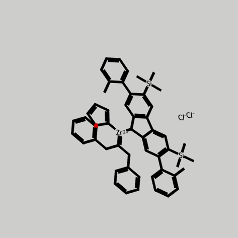 Cc1ccccc1-c1cc2c(cc1[Si](C)(C)C)-c1cc([Si](C)(C)C)c(-c3ccccc3C)cc1[CH]2[Zr+2]([C]1=CC=CC1)=[C](Cc1ccccc1)Cc1ccccc1.[Cl-].[Cl-]